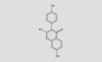 CC(C)c1oc2cc(O)ccc2c(=O)c1-c1ccc(C#N)cc1